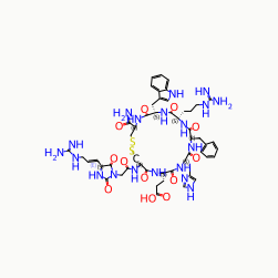 N=C(N)NC/C=C/[C@@H]1NC(=O)N(CC(=O)N[C@H]2CSSC[C@@H](C(N)=O)NC(=O)[C@H](Cc3c[nH]c4ccccc34)NC(=O)[C@H](CCCNC(=N)N)NC(=O)[C@@H](Cc3ccccc3)NC(=O)[C@H](Cc3c[nH]cn3)NC(=O)[C@H](CCC(=O)O)NC2=O)C1=O